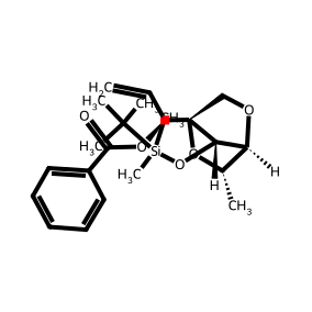 C=C[C@H](OC(=O)c1ccccc1)[C@@]12CO[C@@H]([C@H](C)O1)[C@@H]2O[Si](C)(C)C(C)(C)C